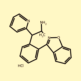 CC(N)C(c1ccccn1)c1ccccc1-c1noc2ccccc12.Cl